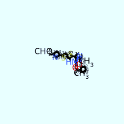 C[C@@H](OC(=O)Nc1c(-c2cc3sc(-c4ccc(CC=O)nc4)cc3s2)cnn1C)c1ccccc1